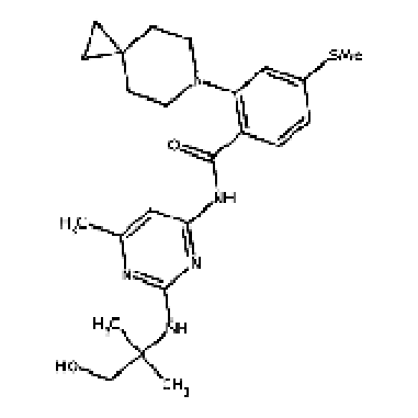 CSc1ccc(C(=O)Nc2cc(C)nc(NC(C)(C)CO)n2)c(N2CCC3(CC2)CC3)c1